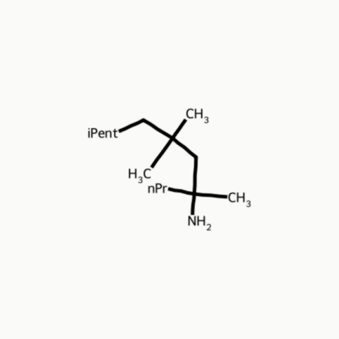 CCCC(C)CC(C)(C)CC(C)(N)CCC